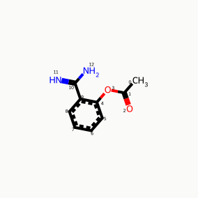 CC(=O)Oc1ccccc1C(=N)N